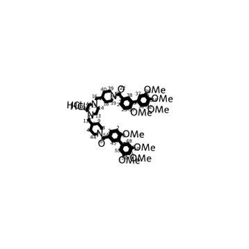 COc1ccc(C(=O)N2CCC(CN3CCN(CC4CCN(C(=O)c5ccc(OC)c(-c6cc(OC)c(OC)c(OC)c6)c5)CC4)CC3)CC2)cc1-c1cc(OC)c(OC)c(OC)c1.Cl.Cl